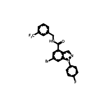 O=C(NCc1cccc(C(F)(F)F)c1)c1cc(Br)cc2c1cnn2-c1ccc(F)cc1